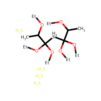 CCOC(C)C(OCC)(OCC)[SiH2]C(OCC)(OCC)C(C)OCC.S.S.S.S